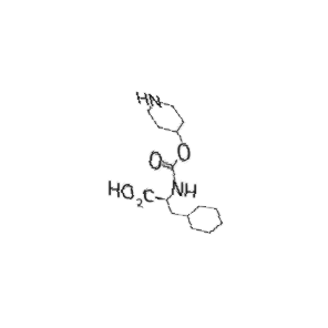 O=C(N[C@@H](CC1CCCCC1)C(=O)O)OC1CCNCC1